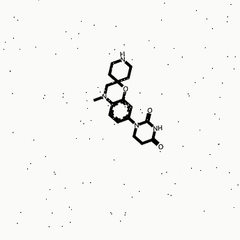 CN1CC2(CCNCC2)Oc2cc(N3CCC(=O)NC3=O)ccc21